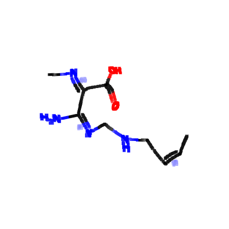 C/C=C\CNC/N=C(N)\C(=N/C)C(=O)O